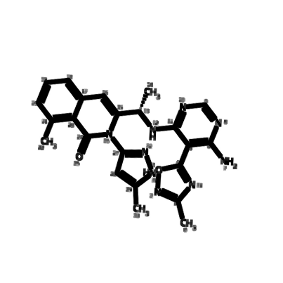 Cc1noc(-c2c(N)ncnc2N[C@@H](C)c2cc3cccc(C)c3c(=O)n2-c2cc(C)[nH]n2)n1